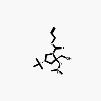 C=CCOC(=O)N1C[C@@H](C(C)(C)C)C[C@@]1(CO)O[SiH](C)C